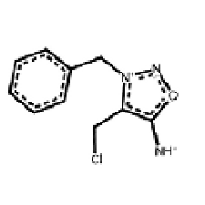 [NH-]c1on[n+](Cc2ccccc2)c1CCl